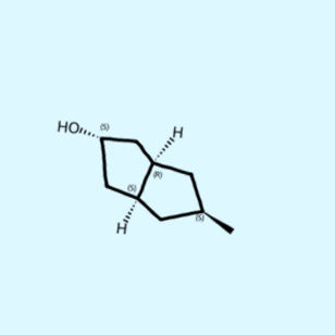 C[C@@H]1C[C@@H]2C[C@@H](O)C[C@@H]2C1